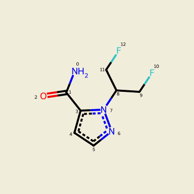 NC(=O)c1ccnn1C(CF)CF